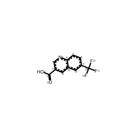 O=C(O)c1cnc2ccc(C(F)(F)F)cc2c1